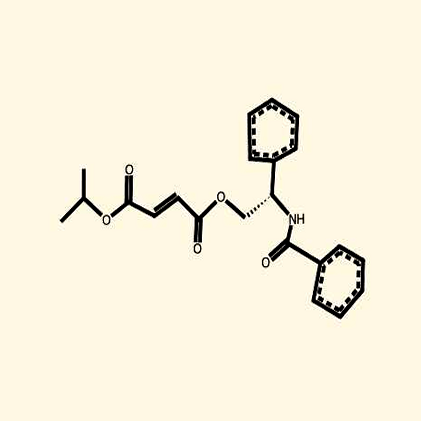 CC(C)OC(=O)/C=C/C(=O)OC[C@@H](NC(=O)c1ccccc1)c1ccccc1